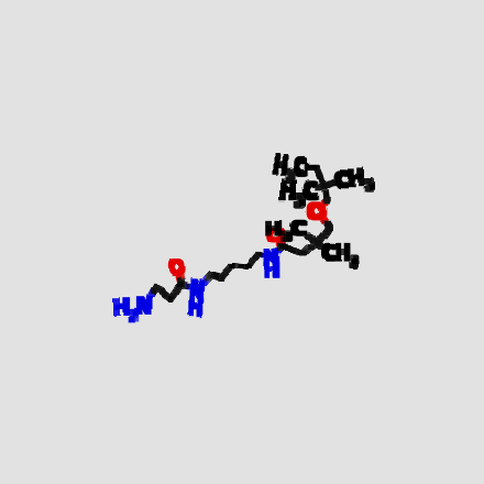 CCC(C)(C)COCC(C)(C)CC(=O)NCCCCCNC(=O)CCN